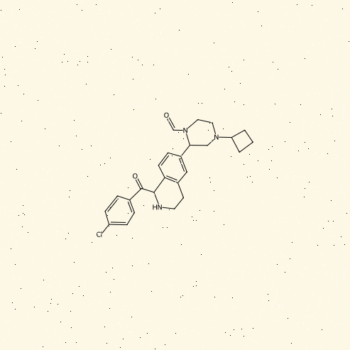 O=CN1CCN(C2CCC2)CC1c1ccc2c(c1)CCNC2C(=O)c1ccc(Cl)cc1